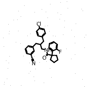 N#Cc1cccc(CC(CNC(=O)C2(c3ccccc3F)CCCC2)Cc2ccc(Cl)cc2)c1